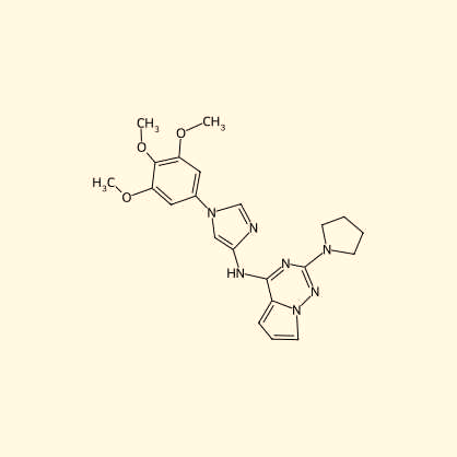 COc1cc(-n2cnc(Nc3nc(N4CCCC4)nn4cccc34)c2)cc(OC)c1OC